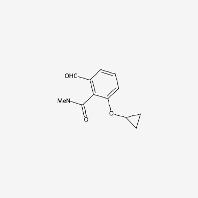 CNC(=O)c1c(C=O)cccc1OC1CC1